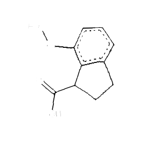 COc1cccc2c1C(C(=O)O)CC2